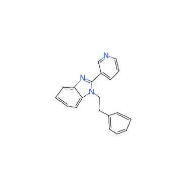 c1ccc(CCn2c(-c3cccnc3)nc3ccccc32)cc1